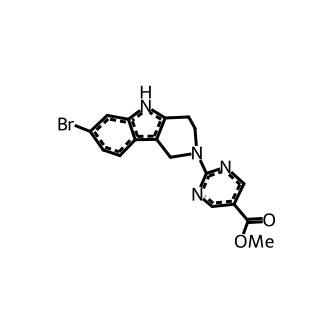 COC(=O)c1cnc(N2CCc3[nH]c4cc(Br)ccc4c3C2)nc1